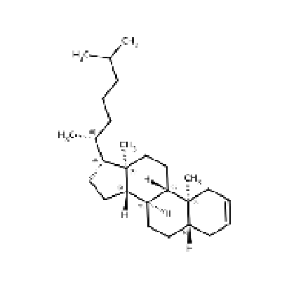 CC(C)CCC[C@@H](C)[C@H]1CC[C@H]2[C@@H]3CC[C@H]4CC=CC[C@]4(C)[C@H]3CC[C@]12C